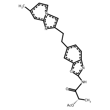 CC(=O)O[C@@H](C)C(=O)Nc1nc2ccc(CCc3cn4ccc(C)cc4n3)cc2o1